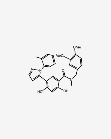 COc1ccc(CN(C)C(=O)c2cc(-c3ccnn3-c3ccccc3C)c(O)cc2O)cc1OC